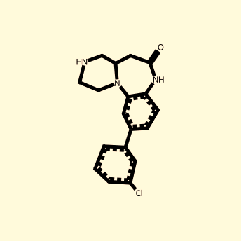 O=C1CC2CNCCN2c2cc(-c3cccc(Cl)c3)ccc2N1